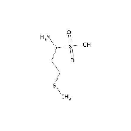 CSCCC(N)S(=O)(=O)O